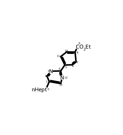 CCCCCCCc1cnc(-c2ccc(C(=O)OCC)cc2)nc1